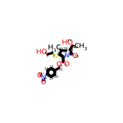 C[C@H]1C(SCCO)=C(C(=O)OCc2ccc([N+](=O)[O-])cc2)N2C(=O)[C@@H]([C@@H](C)O)C12